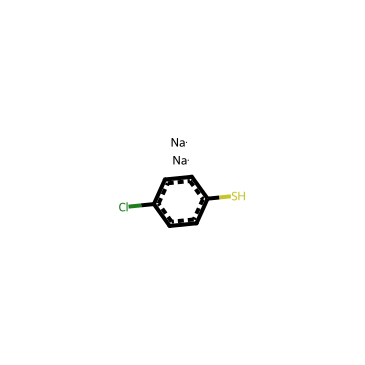 Sc1ccc(Cl)cc1.[Na].[Na]